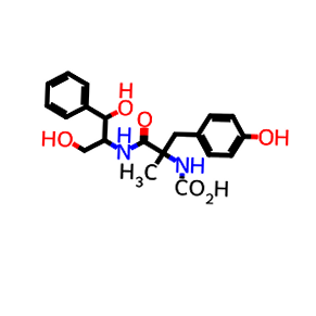 CC(Cc1ccc(O)cc1)(NC(=O)O)C(=O)NC(CO)C(O)c1ccccc1